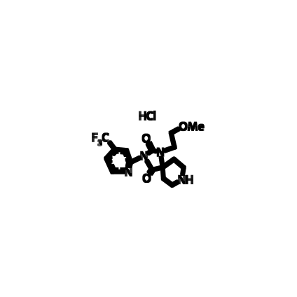 COCCN1C(=O)N(c2cc(C(F)(F)F)ccn2)C(=O)C12CCNCC2.Cl